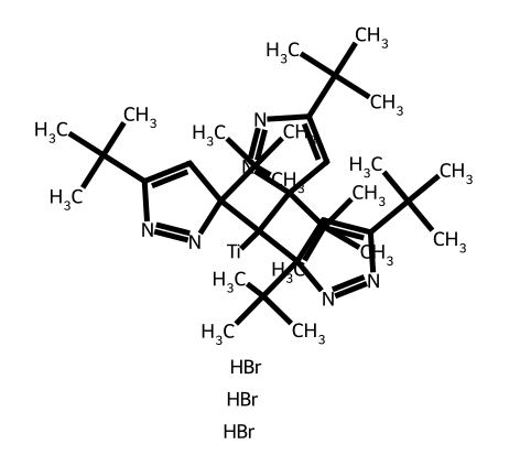 Br.Br.Br.CC(C)(C)C1=CC(C(C)(C)C)([C]([Ti])(C2(C(C)(C)C)C=C(C(C)(C)C)N=N2)C2(C(C)(C)C)C=C(C(C)(C)C)N=N2)N=N1